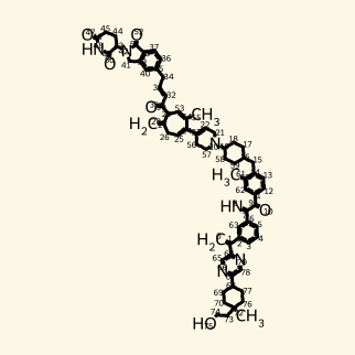 C=C(c1cccc(C(=N)C(=O)c2ccc(CC3CCC(N4CC=C(C5=CCC(=C)C(C(=O)/C=C/Cc6ccc7c(c6)CN(C6CCC(=O)NC6=O)C7=O)C=C5C)CC4)CC3)c(C)c2)c1)c1cnc(C2CCC(C)(CCO)CC2)cn1